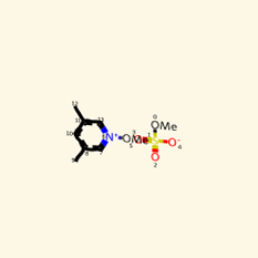 COS(=O)(=O)[O-].CO[n+]1cc(C)cc(C)c1